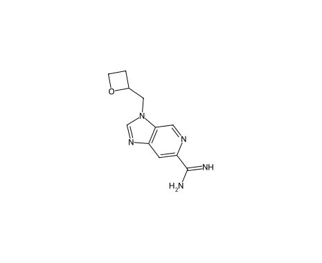 N=C(N)c1cc2ncn(CC3CCO3)c2cn1